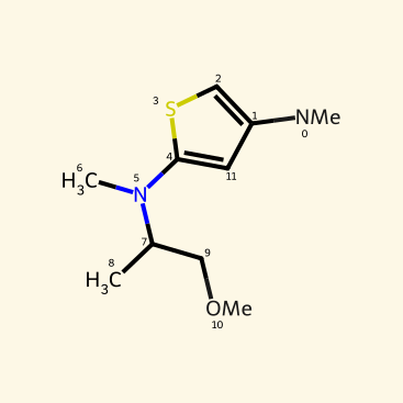 CNc1csc(N(C)C(C)COC)c1